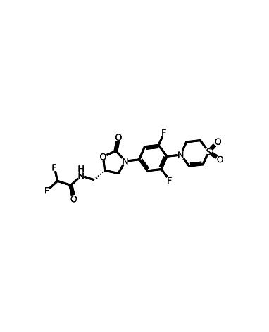 O=C(NC[C@H]1CN(c2cc(F)c(N3C=CS(=O)(=O)CC3)c(F)c2)C(=O)O1)C(F)F